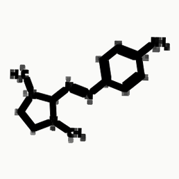 CN1CCN(C)C1N=Nc1ccc(N)cc1